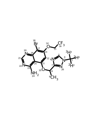 [2H]C([2H])([2H])n1cnc(C(C)Oc2cc(OCC(F)(F)F)c(Br)c3ncnc(N)c23)n1